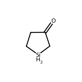 O=C1CC[SiH2]C1